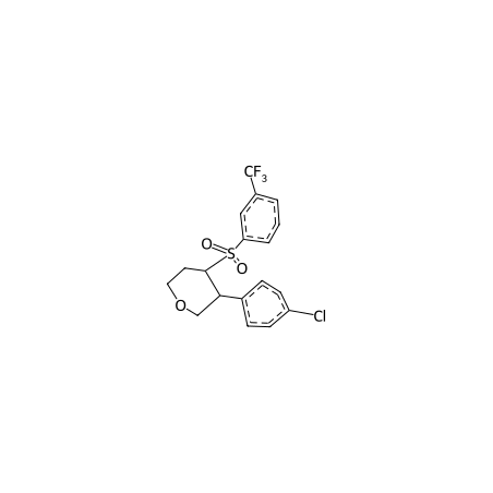 O=S(=O)(c1cccc(C(F)(F)F)c1)C1CCOCC1c1ccc(Cl)cc1